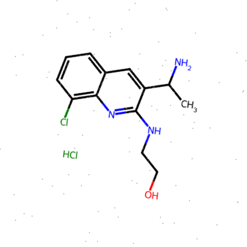 CC(N)c1cc2cccc(Cl)c2nc1NCCO.Cl